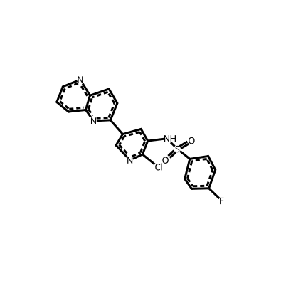 O=S(=O)(Nc1cc(-c2ccc3ncccc3n2)cnc1Cl)c1ccc(F)cc1